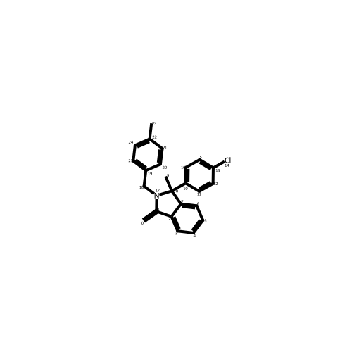 C=C1c2ccccc2C(C)(c2ccc(Cl)cc2)N1Cc1ccc(C)cc1